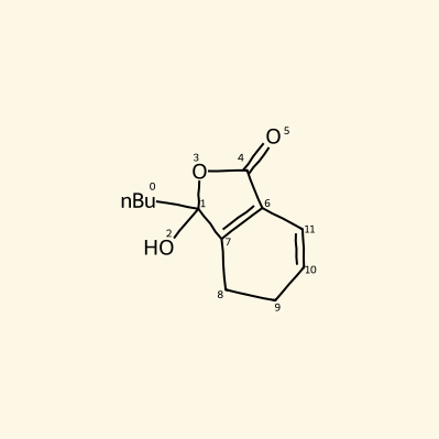 CCCCC1(O)OC(=O)C2=C1CCC=C2